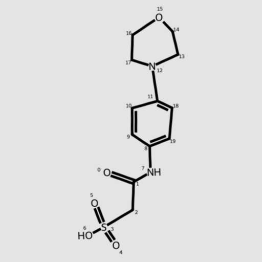 O=C(CS(=O)(=O)O)Nc1ccc(N2CCOCC2)cc1